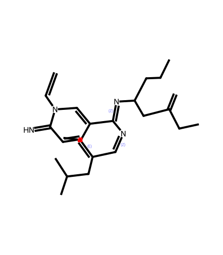 C=Cn1cc(C(/N=C\C(=C\C)CC(C)C)=N/C(CCC)CC(=C)CC)ccc1=N